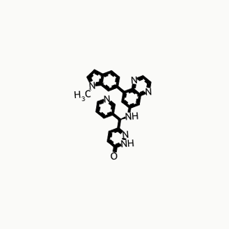 Cn1ccc2ccc(-c3cc(N[C@H](c4cccnc4)c4ccc(=O)[nH]n4)cc4nccnc34)cc21